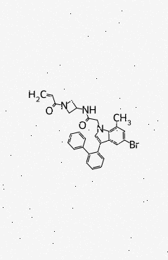 C=CC(=O)N1CC(NC(=O)Cn2cc(-c3ccccc3-c3ccccc3)c3cc(Br)cc(C)c32)C1